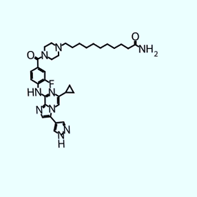 NC(=O)CCCCCCCCCCN1CCN(C(=O)c2ccc(Nc3nc(C4CC4)cn4c(-c5cn[nH]c5)cnc34)c(F)c2)CC1